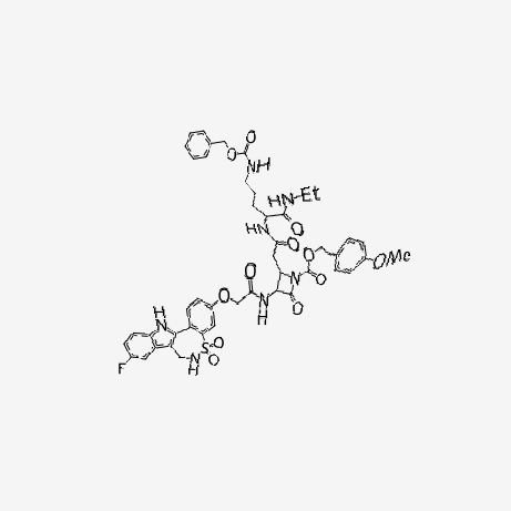 CCNC(=O)C(CCCNC(=O)OCc1ccccc1)NC(=O)CC1C(NC(=O)COc2ccc3c(c2)S(=O)(=O)NCc2c-3[nH]c3ccc(F)cc23)C(=O)N1C(=O)OCc1ccc(OC)cc1